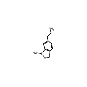 NCCc1ccc2c(c1)B(O)OC2